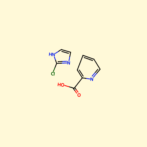 Clc1ncc[nH]1.O=C(O)c1ccccn1